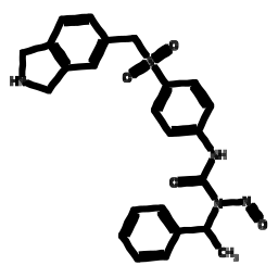 CC(c1ccccc1)N(N=O)C(=O)Nc1ccc(S(=O)(=O)Cc2ccc3c(c2)CNC3)cc1